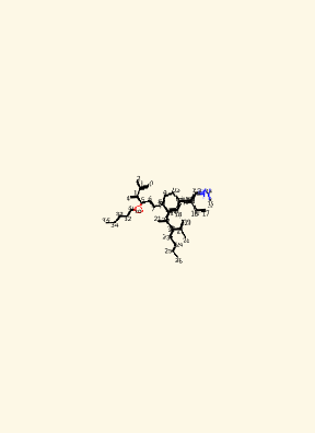 C=C(C)C(=C)C(CC[C@H]1CC[C@@H]([C@@H](/C=N\C)CC)C=C1C(C)C(CCCC)C(C)C)OCCCCC